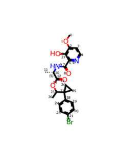 COc1ccnc(C(=O)N[C@@H](C)C(=O)OC(C)C2(c3ccc(Br)cc3)CC2)c1O